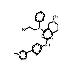 CCCN1CCc2nc(Nc3ccc(-c4cnn(C)c4)cc3)nc(N(CCO)c3ccccc3)c2C1